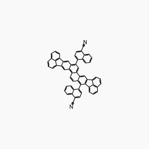 N#Cc1ccc(-c2cc3c4cc5c(c(-c6ccc(C#N)c7ccccc67)c4ccc3c3cc4c(cc23)-c2cccc3cccc-4c23)-c2cccc3cccc-5c23)c2ccccc12